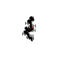 C=CC(=O)N1CC(C(=O)NCCc2cc3c(-c4c(/C=C\C(=O)Nc5cccc(C(=O)NCCc6cc7c(-c8cnn9ncccc89)ccnc7[nH]6)c5)nn5ncccc45)ccnc3[nH]2)C1